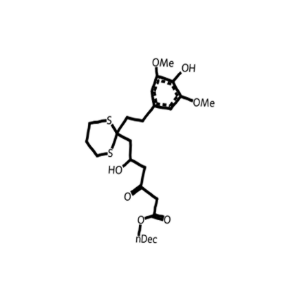 CCCCCCCCCCOC(=O)CC(=O)CC(O)CC1(CCc2cc(OC)c(O)c(OC)c2)SCCCS1